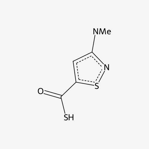 CNc1cc(C(=O)S)sn1